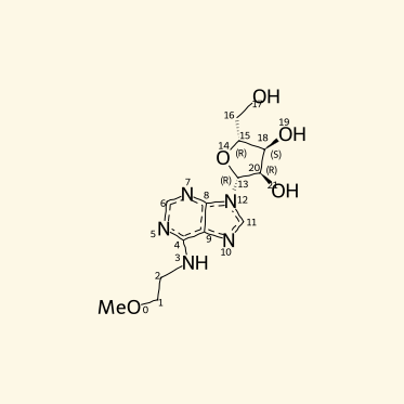 COCCNc1ncnc2c1ncn2[C@@H]1O[C@H](CO)[C@@H](O)[C@H]1O